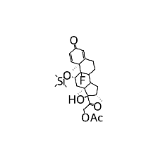 CC(=O)OCC(=O)[C@@]1(O)[C@@H](C)CC2C3CCC4=CC(=O)C=C[C@]4(C)C3(F)[C@@H](O[Si](C)(C)C)C[C@@]21C